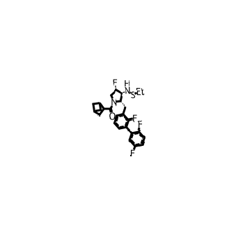 CCSN[C@H]1[C@@H](F)CN(C(=O)C2CC3CC2C3)[C@H]1Cc1cccc(-c2cc(F)ccc2F)c1F